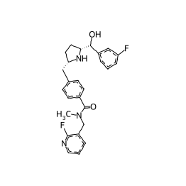 CN(Cc1cccnc1F)C(=O)c1ccc(C[C@@H]2CC[C@H](C(O)c3cccc(F)c3)N2)cc1